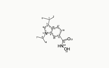 CC(C)c1cn(C(C)C)c2cc(C(=O)NO)ccc12